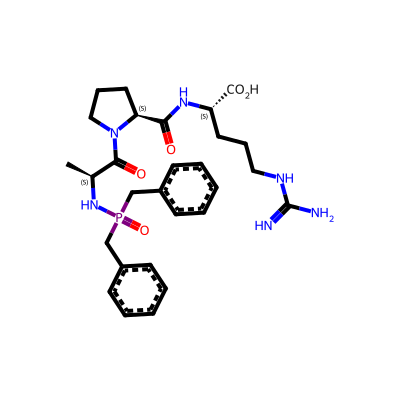 C[C@H](NP(=O)(Cc1ccccc1)Cc1ccccc1)C(=O)N1CCC[C@H]1C(=O)N[C@@H](CCCNC(=N)N)C(=O)O